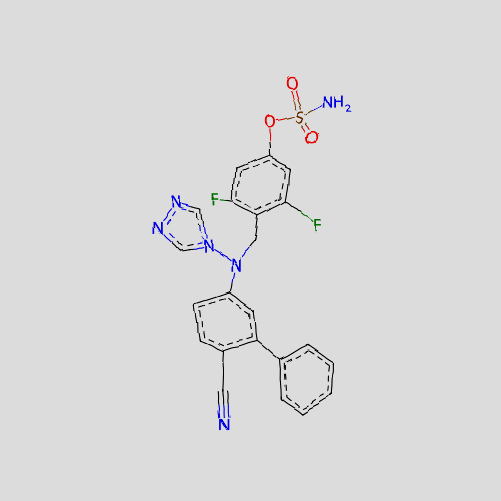 N#Cc1ccc(N(Cc2c(F)cc(OS(N)(=O)=O)cc2F)n2cnnc2)cc1-c1ccccc1